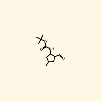 CC1CC(C=O)C(NC(=O)OC(C)(C)C)C1